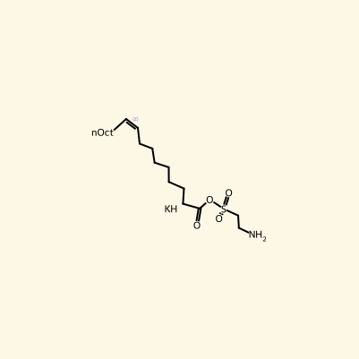 CCCCCCCC/C=C\CCCCCCCC(=O)OS(=O)(=O)CCN.[KH]